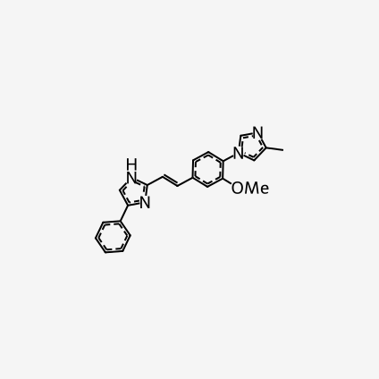 COc1cc(/C=C/c2nc(-c3ccccc3)c[nH]2)ccc1-n1cnc(C)c1